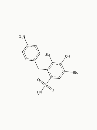 CC(C)(C)c1cc(S(N)(=O)=O)c(Cc2ccc([N+](=O)[O-])cc2)c(C(C)(C)C)c1O